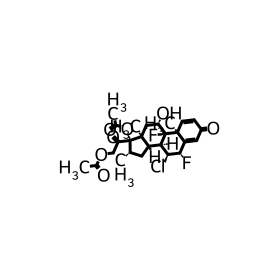 CC(=O)OCC(=O)[C@]1(OC(C)=O)[C@@H](C)C[C@H]2[C@@H]3[C@H](Cl)[C@@H](F)C4=CC(=O)C=C[C@]4(C)[C@@]3(F)[C@@H](O)C[C@@]21C